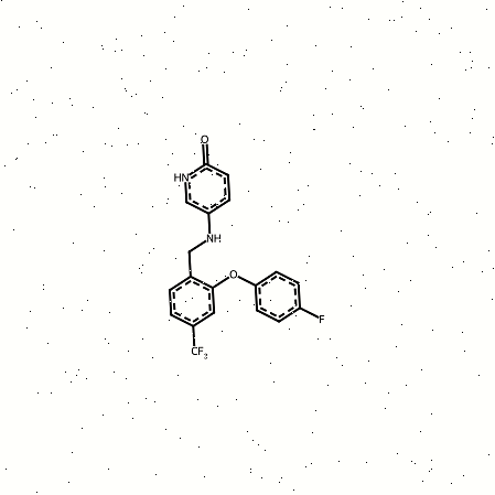 O=c1ccc(NCc2ccc(C(F)(F)F)cc2Oc2ccc(F)cc2)c[nH]1